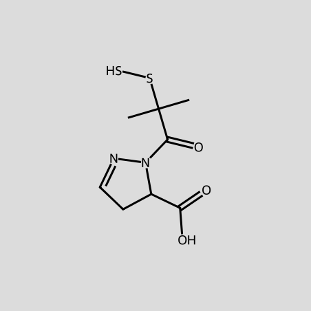 CC(C)(SS)C(=O)N1N=CCC1C(=O)O